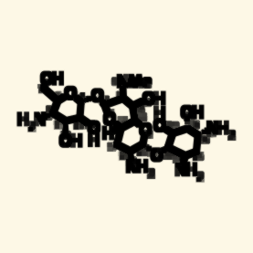 CNC1C(O[C@H]2OC(CO)[C@@H](N)[C@H](O)C2O)O[C@H]2C[C@H](N)[C@@H](O[C@@H]3C(N)C[C@@H](N)[C@@H](O)C3O)OC2C1O